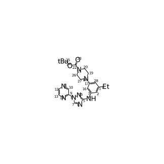 CCc1cc(Nc2ncn(-c3cnccn3)n2)cc(N2CCN(C(=O)OC(C)(C)C)CC2)c1